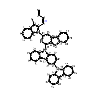 C=C/C=C\c1c(C)c2ccccc2n1-c1cc2c(sc3ccccc32)c(-n2c3ccccc3c3cc(-n4c5ccccc5c5ccccc54)ccc32)n1